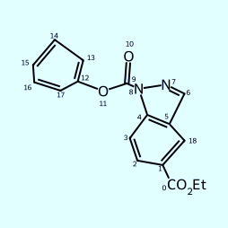 CCOC(=O)c1ccc2c(cnn2C(=O)Oc2ccccc2)c1